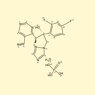 C[C@@H](c1ncncc1F)[C@](O)(Cn1cncn1)c1ccc(F)cc1F.O.O=P(O)(O)O.[NaH]